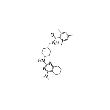 Cc1cc(C)c(C(=O)NC[C@H]2CC[C@@H](Nc3nc4c(c(N(C)C)n3)CCCC4)CC2)c(C)c1